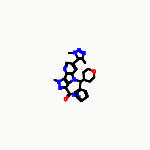 Cc1nnn(C)c1-c1cnc2c3c(c(C(N)=O)nn3C)n(C(c3ccccc3)C3CCOCC3)c2c1